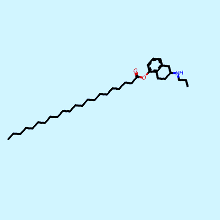 CCCCCCCCCCCCCCCCCCCCCC(=O)Oc1cccc2c1CCC(NCCC)C2